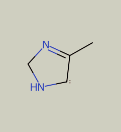 CC1=NCN[C]1